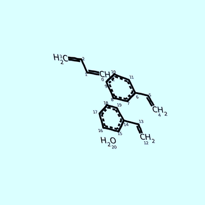 C=CC=C.C=Cc1ccccc1.C=Cc1ccccc1.O